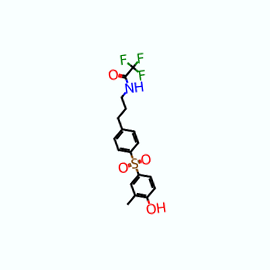 Cc1cc(S(=O)(=O)c2ccc(CCCNC(=O)C(F)(F)F)cc2)ccc1O